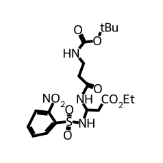 CCOC(=O)CC(NC(=O)CCNC(=O)OC(C)(C)C)NS(=O)(=O)c1ccccc1[N+](=O)[O-]